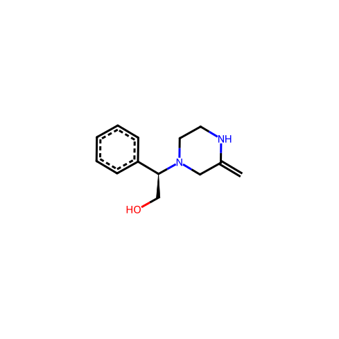 C=C1CN([C@@H](CO)c2ccccc2)CCN1